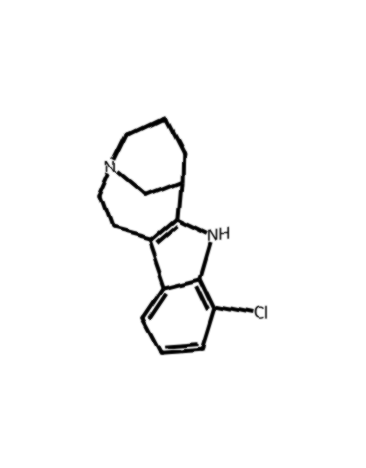 Clc1cccc2c3c([nH]c12)C1CCCN(CC3)C1